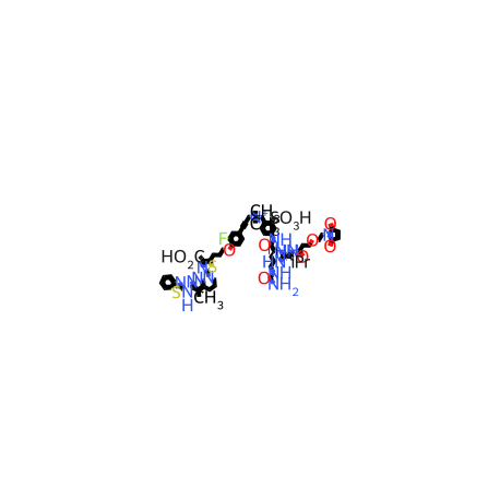 Cc1c(Nc2nc3ccccc3s2)nnc2c1CCCN2c1nc(C(=O)O)c(CCCOc2ccc(C#CC[N+](C)(C)Cc3ccc(NC(=O)[C@H](CCCNC(N)=O)NC(=N)[C@@H](NC(=O)CCOCCN4C(=O)C=CC4=O)C(C)C)cc3S(=O)(=O)O)cc2F)s1